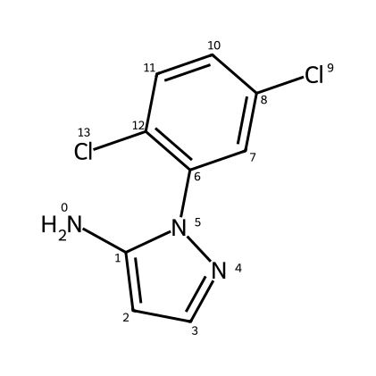 Nc1ccnn1-c1cc(Cl)ccc1Cl